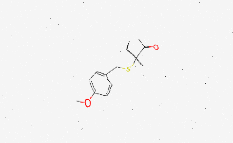 CCC(C)(SCc1ccc(OC)cc1)C(C)=O